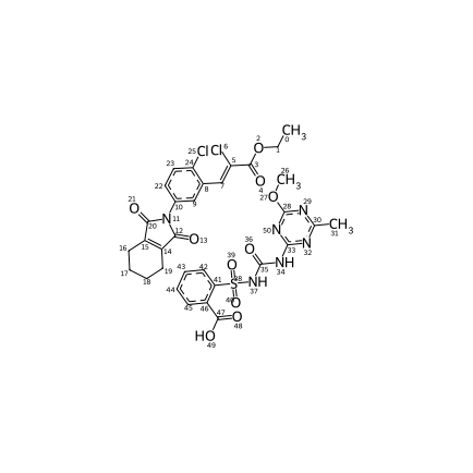 CCOC(=O)/C(Cl)=C/c1cc(N2C(=O)C3=C(CCCC3)C2=O)ccc1Cl.COc1nc(C)nc(NC(=O)NS(=O)(=O)c2ccccc2C(=O)O)n1